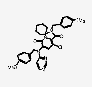 COc1ccc(CN(c2ccncn2)c2cc(Cl)c3n(c2=O)C2(CCCCC2)N(Cc2ccc(OC)cc2)C3=O)cc1